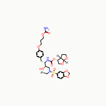 CC(C)CN(C[C@@H](O)[C@H](Cc1ccc(OCCCOC(N)=O)cc1)NC(=O)O[C@H]1CO[C@H]2OCC[C@H]21)S(=O)(=O)c1ccc2c(c1)OCO2